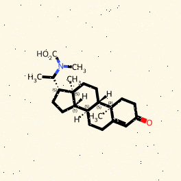 CC([C@H]1CC[C@H]2[C@@H]3CCC4=CC(=O)CC[C@]4(C)[C@H]3CC[C@]12C)N(C)C(=O)O